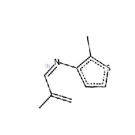 C=C(C)/C=N\c1ccsc1C